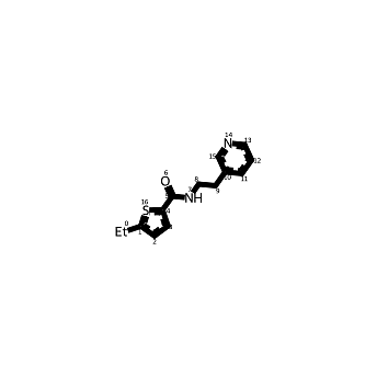 CCc1ccc(C(=O)NCCc2cccnc2)s1